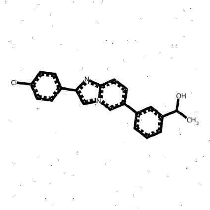 CC(O)c1cccc(-c2ccc3nc(-c4ccc(Cl)cc4)cn3c2)c1